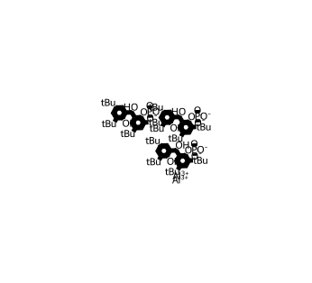 CC(C)(C)c1cc(C(O)c2cc(C(C)(C)C)cc(C(C)(C)C)c2OP(=O)([O-])[O-])c(O)c(C(C)(C)C)c1.CC(C)(C)c1cc(C(O)c2cc(C(C)(C)C)cc(C(C)(C)C)c2OP(=O)([O-])[O-])c(O)c(C(C)(C)C)c1.CC(C)(C)c1cc(C(O)c2cc(C(C)(C)C)cc(C(C)(C)C)c2OP(=O)([O-])[O-])c(O)c(C(C)(C)C)c1.[Al+3].[Al+3]